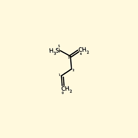 C=CCC(=C)[SiH3]